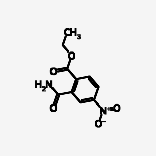 CCOC(=O)c1ccc([N+](=O)[O-])cc1C(N)=O